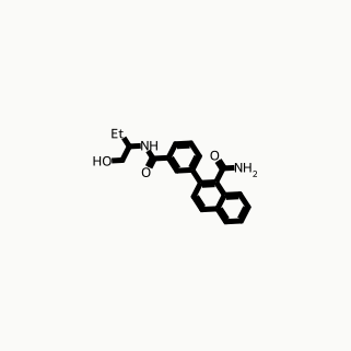 CCC(CO)NC(=O)c1cccc(-c2ccc3ccccc3c2C(N)=O)c1